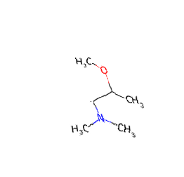 COC(C)[CH]N(C)C